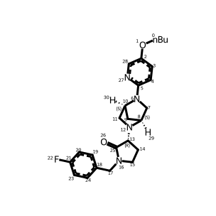 CCCCOc1ccc(N2C[C@@H]3C[C@H]2CN3[C@@H]2CCN(Cc3ccc(F)cc3)C2=O)nc1